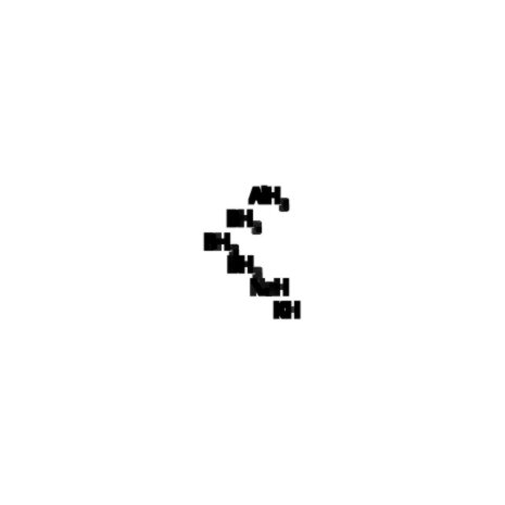 B.B.B.[AlH3].[KH].[NaH]